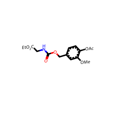 CCOC(=O)CNC(=O)OCc1ccc(OC(C)=O)c(OC)c1